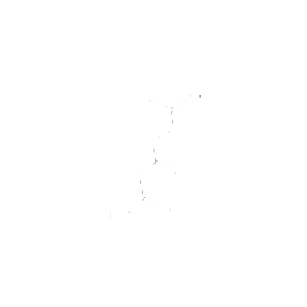 O=C(O)CC(=O)OCC(Cl)Cl